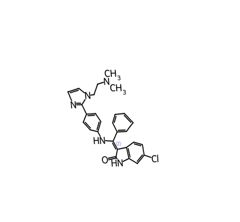 CN(C)CCn1ccnc1-c1ccc(N/C(=C2\C(=O)Nc3cc(Cl)ccc32)c2ccccc2)cc1